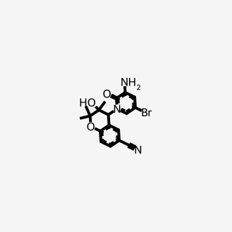 CC1(C)Oc2ccc(C#N)cc2C(n2cc(Br)cc(N)c2=O)C1(C)O